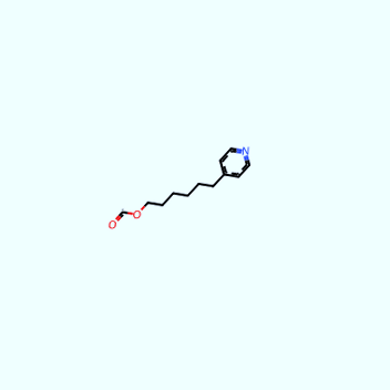 O=[C]OCCCCCCc1ccncc1